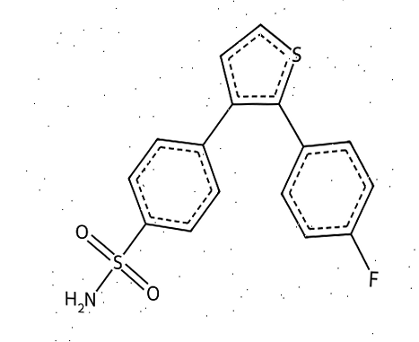 NS(=O)(=O)c1ccc(-c2ccsc2-c2ccc(F)cc2)cc1